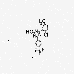 Cc1ccc(Cl)c(-c2nc(O)nc(-c3ccc(C(F)(F)F)cc3)n2)c1